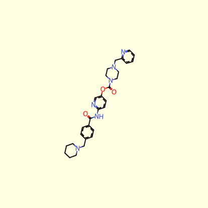 O=C(Nc1ccc(OC(=O)N2CCN(Cc3ccccn3)CC2)cn1)c1ccc(CN2CCCCC2)cc1